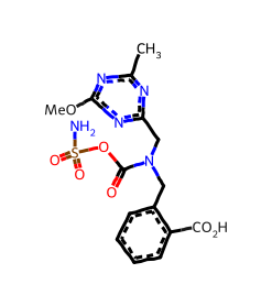 COc1nc(C)nc(CN(Cc2ccccc2C(=O)O)C(=O)OS(N)(=O)=O)n1